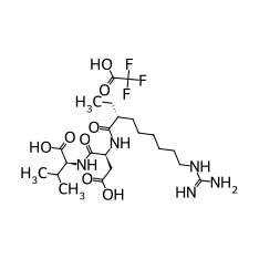 CC[C@H](CCCCCCNC(=N)N)C(=O)N[C@@H](CC(=O)O)C(=O)N[C@H](C(=O)O)C(C)C.O=C(O)C(F)(F)F